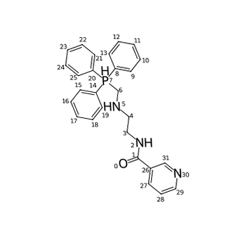 O=C(NCCNC[PH](c1ccccc1)(c1ccccc1)c1ccccc1)c1cccnc1